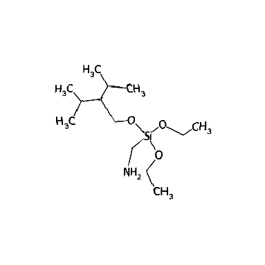 CCO[Si](CN)(OCC)OCC(C(C)C)C(C)C